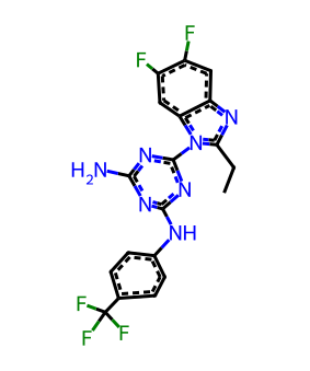 CCc1nc2cc(F)c(F)cc2n1-c1nc(N)nc(Nc2ccc(C(F)(F)F)cc2)n1